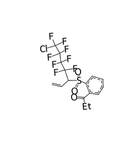 C=CC(C(F)(F)C(F)(F)C(F)(F)C(F)(F)Cl)S(=O)(=O)c1ccccc1C(=O)CC